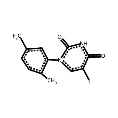 Cc1ccc(C(F)(F)F)cc1-n1cc(I)c(=O)[nH]c1=O